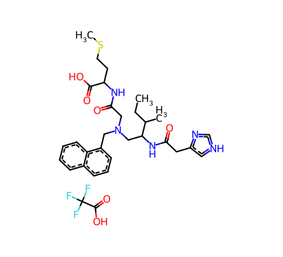 CCC(C)C(CN(CC(=O)NC(CCSC)C(=O)O)Cc1cccc2ccccc12)NC(=O)Cc1c[nH]cn1.O=C(O)C(F)(F)F